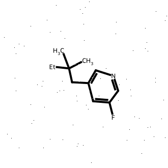 CCC(C)(C)Cc1cncc(F)c1